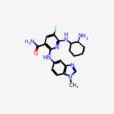 Cn1cnc2cc(Nc3nc(NC4CCCC[C@@H]4N)c(F)cc3C(N)=O)ccc21